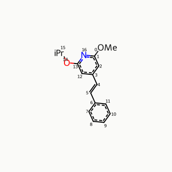 COc1cc(/C=C/c2ccccc2)cc(OC(C)C)n1